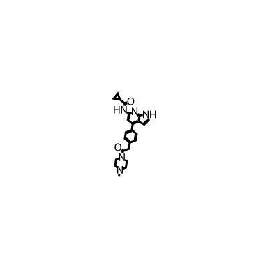 CN1CCN(C(=O)Cc2ccc(-c3cc(NC(=O)C4CC4)nc4[nH]ccc34)cc2)CC1